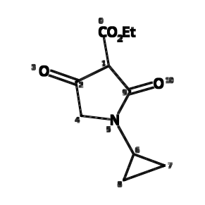 CCOC(=O)C1C(=O)CN(C2CC2)C1=O